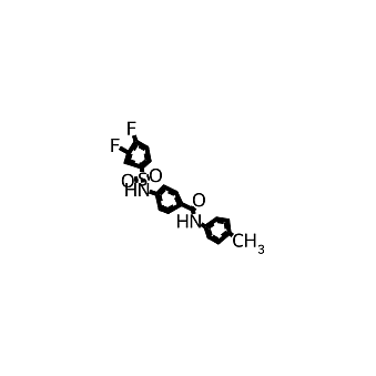 Cc1ccc(NC(=O)c2ccc(NS(=O)(=O)c3ccc(F)c(F)c3)cc2)cc1